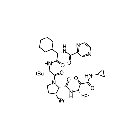 CCC[C@H](NC(=O)[C@@H]1[C@@H](C(C)C)CCN1C(=O)[C@@H](NC(=O)[C@@H](NC(=O)c1cnccn1)C1CCCCC1)C(C)(C)C)C(=O)C(=O)NC1CC1